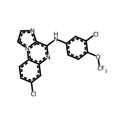 FC(F)(F)Oc1ccc(Nc2nc3cc(Cl)ccc3n3ccnc23)cc1Cl